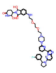 O=C1CCC(N2C(=O)c3cc(NCCOCCOCCN4CCN(c5cccc(-c6cnc7ccc(N8CCCC8c8cccc(F)c8)nn67)n5)CC4)ccc3C2O)C(O)N1